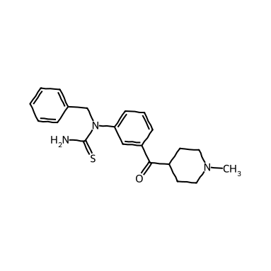 CN1CCC(C(=O)c2cccc(N(Cc3ccccc3)C(N)=S)c2)CC1